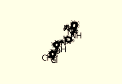 CN(C)c1nc(N[C@H]2CC[C@@H](NCc3cccc(Oc4ccc(Cl)c(Cl)c4)c3)CC2)nc2ccccc12